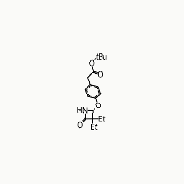 CCC1(CC)C(=O)N[C@@H]1Oc1ccc(CC(=O)OC(C)(C)C)cc1